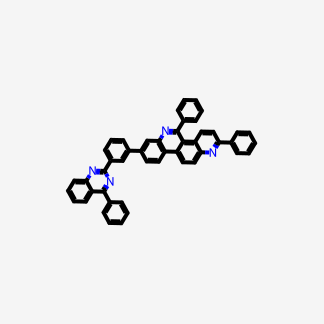 c1ccc(-c2ccc3c(ccc4c5ccc(-c6cccc(-c7nc(-c8ccccc8)c8ccccc8n7)c6)cc5nc(-c5ccccc5)c34)n2)cc1